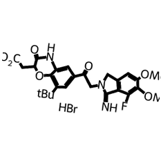 Br.COc1cc2c(c(F)c1OC)C(=N)N(CC(=O)c1cc3c(c(C(C)(C)C)c1)OC(CC(=O)O)C(=O)N3)C2